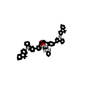 CC1(C)c2ccccc2-c2ccc(-n3c4ccccc4c4cc(-c5ccc6c(c5)c5ccccc5n6-c5nc6ccccc6nc5-n5c6ccccc6c6cc(-c7ccc8c(c7)c7ccccc7n8-c7ccc8c(c7)C(C)(C)c7ccccc7-8)ccc65)ccc43)cc21